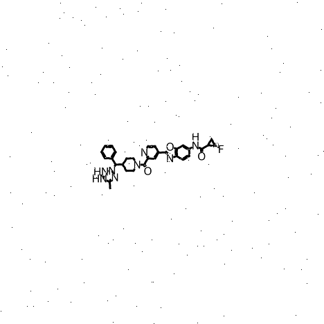 CC1=NN(C(c2ccccc2)C2CCN(C(=O)c3cc(-c4nc5ccc(NC(=O)C6C[C@@H]6F)cc5o4)ccn3)CC2)NN1